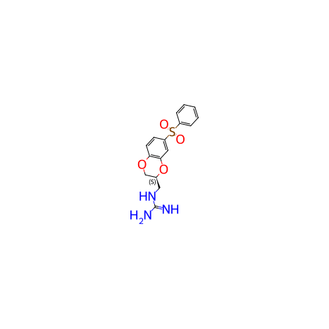 N=C(N)NC[C@H]1COc2ccc(S(=O)(=O)c3ccccc3)cc2O1